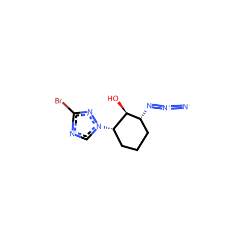 [N-]=[N+]=N[C@@H]1CCC[C@H](n2cnc(Br)n2)[C@H]1O